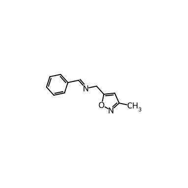 Cc1cc(CN=Cc2ccccc2)on1